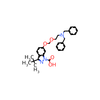 CC(C)(C)c1nn(C(=O)O)c2cc(OCOCCN(Cc3ccccc3)Cc3ccccc3)ccc12